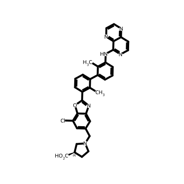 Cc1c(Nc2nccc3nccnc23)cccc1-c1cccc(-c2nc3cc(CN4CC[C@@H](C(=O)O)C4)cc(Cl)c3o2)c1C